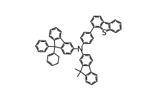 CC1(C)c2ccccc2-c2ccc(N(c3ccc(-c4cccc5c4sc4ccccc45)cc3)c3ccc4c(c3)-c3ccccc3C4(C3=CC=CCC3)c3ccccc3)cc21